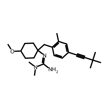 COC1CCC(Cc2ccc(C#CC(C)(C)C)cc2C)(/N=C(/N)N(C)C)CC1